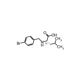 CC(C)C[C@H](NCc1ccc(Br)cc1)C(=O)O